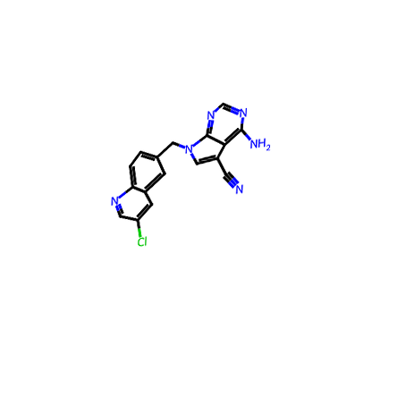 N#Cc1cn(Cc2ccc3ncc(Cl)cc3c2)c2ncnc(N)c12